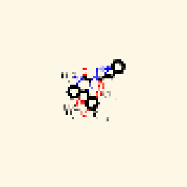 COc1cc(C)c(OC)c(OC)c1C1=NC(NC(=O)c2cc3ccccc3[nH]2)C(=O)N(C)c2ccccc21